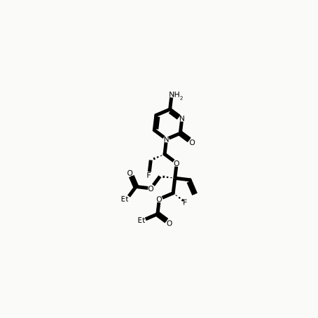 C=C[C@](COC(=O)CC)(O[C@H](CF)n1ccc(N)nc1=O)[C@H](F)OC(=O)CC